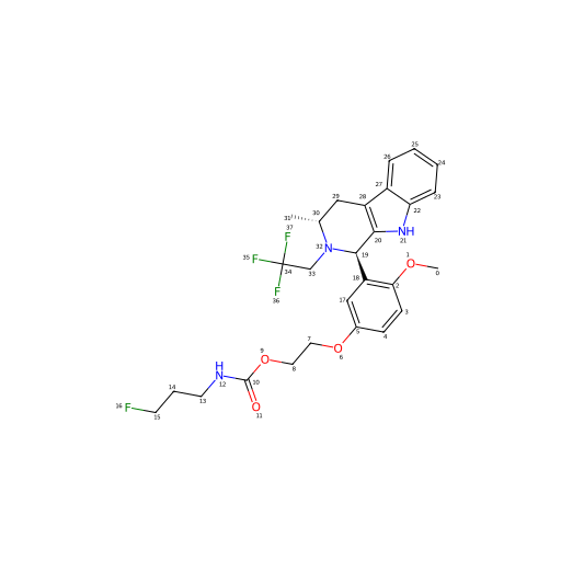 COc1ccc(OCCOC(=O)NCCCF)cc1[C@@H]1c2[nH]c3ccccc3c2C[C@@H](C)N1CC(F)(F)F